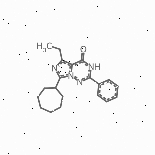 CCc1nc(C2CCCCCC2)n2nc(-c3ccccc3)[nH]c(=O)c12